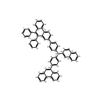 c1ccc(-c2c(-c3ccccc3)c3cc(-c4ccc(N(c5ccc(-c6cc7ccccc7c7ccccc67)cc5)c5ccc6ccccc6c5)cc4)ccc3c3ccccc23)cc1